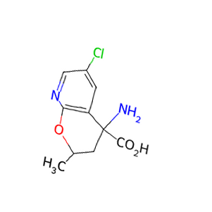 CC1CC(N)(C(=O)O)c2cc(Cl)cnc2O1